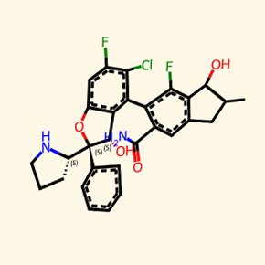 CC1Cc2cc(C(N)=O)c(-c3c(Cl)c(F)cc4c3[C@H](O)[C@](c3ccccc3)([C@@H]3CCCN3)O4)c(F)c2C1O